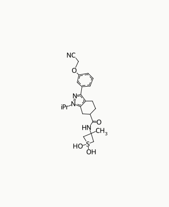 CC(C)n1nc(-c2cccc(OCC#N)c2)c2c1CC(C(=O)NC1(C)CS(O)(O)C1)CC2